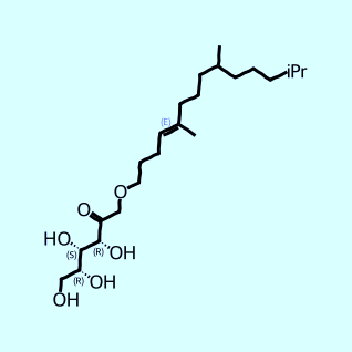 C/C(=C\CCCOCC(=O)[C@H](O)[C@@H](O)[C@H](O)CO)CCCC(C)CCCC(C)C